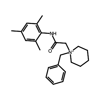 Cc1cc(C)c(NC(=O)C[N+]2(Cc3ccccc3)CCCCC2)c(C)c1